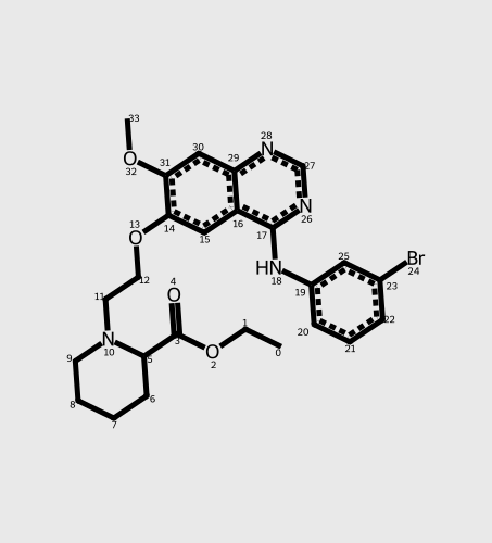 CCOC(=O)C1CCCCN1CCOc1cc2c(Nc3cccc(Br)c3)ncnc2cc1OC